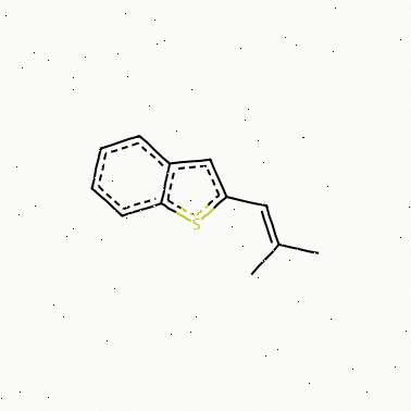 CC(C)=Cc1cc2ccccc2s1